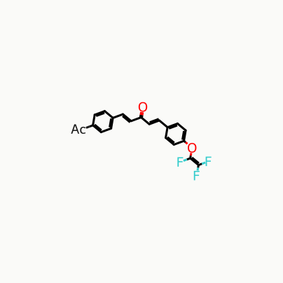 CC(=O)c1ccc(C=CC(=O)C=Cc2ccc(OC(F)=C(F)F)cc2)cc1